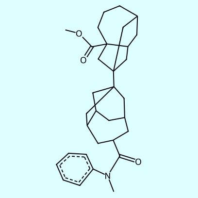 COC(=O)C12CCCC3CC1CC(C14CC5CC(C(=O)N(C)c6ccccc6)CC(C1)C(C5)C4)(C3)C2